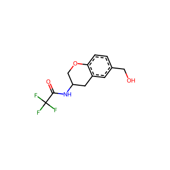 O=C(NC1COc2ccc(CO)cc2C1)C(F)(F)F